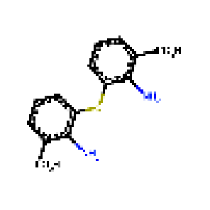 Nc1c(Sc2cccc(C(=O)O)c2N)cccc1C(=O)O